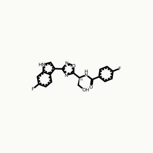 O=C(N[C@@H](CO)c1nc(-c2c[nH]c3cc(F)ccc23)no1)c1ccc(F)cc1